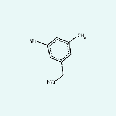 Cc1cc(CO)cc(C(C)C)c1